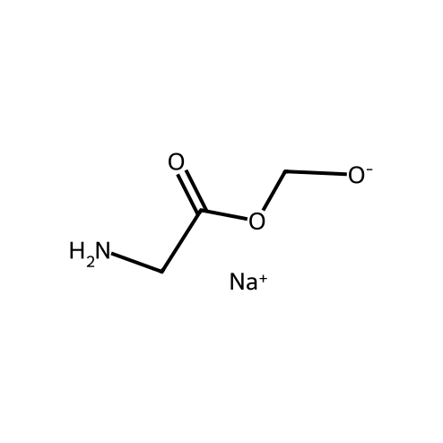 NCC(=O)OC[O-].[Na+]